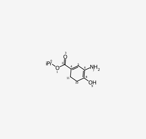 CC(C)OC(=O)C1=CC(N)=C(O)CC1